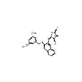 COc1cc(COc2cc3ccccc3cc2/C=C2/SC(=S)NC2=O)cc(OC)c1